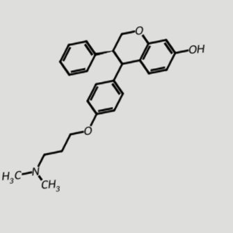 CN(C)CCCOc1ccc(C2c3ccc(O)cc3OC[C@@H]2c2ccccc2)cc1